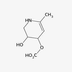 CC1=CC(OC(=O)O)C(O)CN1